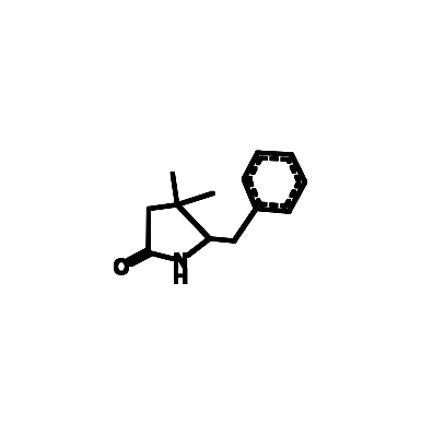 CC1(C)CC(=O)NC1Cc1ccccc1